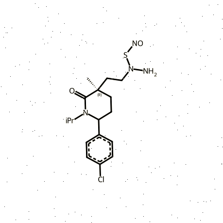 CC(C)N1C(=O)[C@@](C)(CCN(N)SN=O)CCC1c1ccc(Cl)cc1